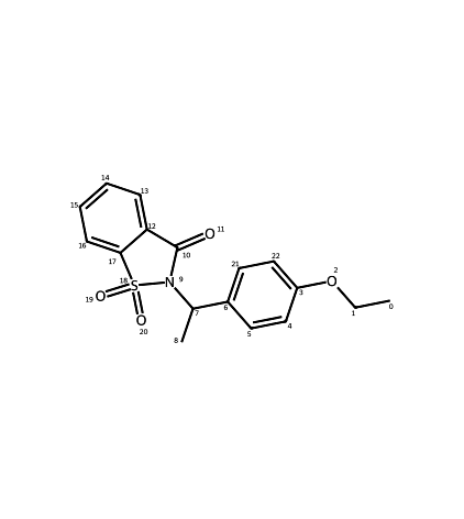 CCOc1ccc(C(C)N2C(=O)c3ccccc3S2(=O)=O)cc1